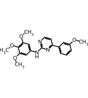 COc1cccc(-c2ccnc(Nc3cc(OC)c(OC)c(OC)c3)n2)c1